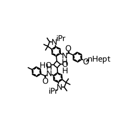 CCCCCCCOc1ccc(C(=O)Nc2cc3c(cc2C2C(O)C(c4cc5c(cc4NC(=O)c4ccc(C)cc4)N(C(C)C)C(C)C5(C)C)C2O)C(C)(C)C(C)N3C(C)C)cc1